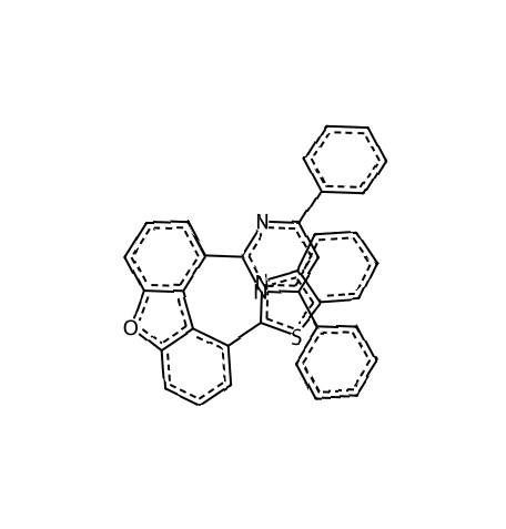 c1ccc(-c2cc(-c3ccccc3)nc(-c3cccc4oc5cccc(-c6nc7ccccc7s6)c5c34)n2)cc1